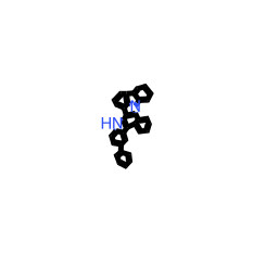 c1ccc(-c2ccc3[nH]c4c(c3c2)c2ccccc2c2c4c3cccc4c5ccccc5n2c43)cc1